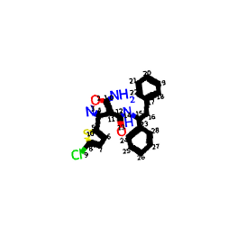 Nc1onc(-c2ccc(Cl)s2)c1C(=O)NC(Cc1ccccc1)c1ccccc1